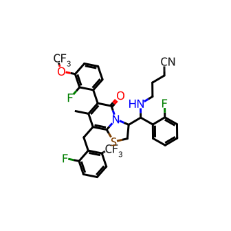 Cc1c(Cc2c(F)cccc2C(F)(F)F)c2n(c(=O)c1-c1cccc(OC(F)(F)F)c1F)C(C(NCCCC#N)c1ccccc1F)CS2